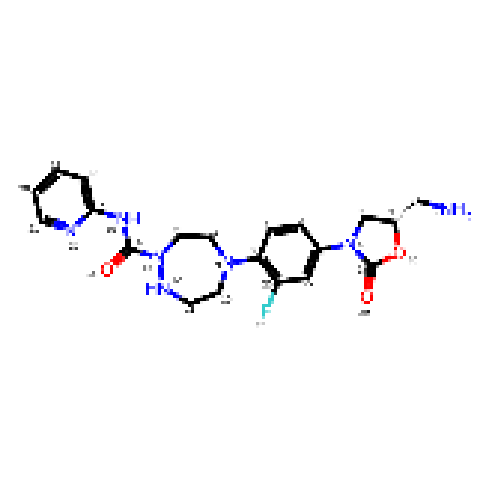 NC[C@H]1CN(c2ccc(N3CCNN(C(=O)Nc4ccccn4)CC3)c(F)c2)C(=O)O1